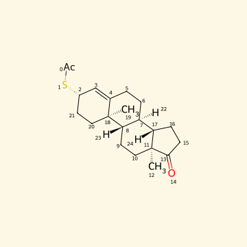 CC(=O)S[C@@H]1C=C2CC[C@@H]3[C@H](CC[C@]4(C)C(=O)CC[C@@H]34)[C@@]2(C)CC1